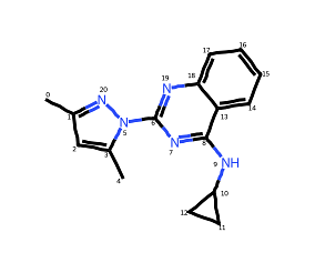 Cc1cc(C)n(-c2nc(NC3CC3)c3ccccc3n2)n1